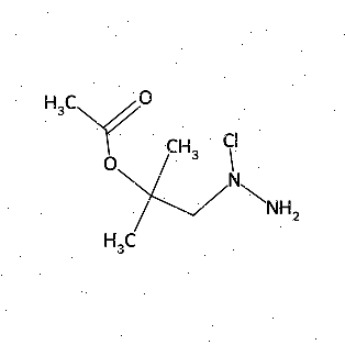 CC(=O)OC(C)(C)CN(N)Cl